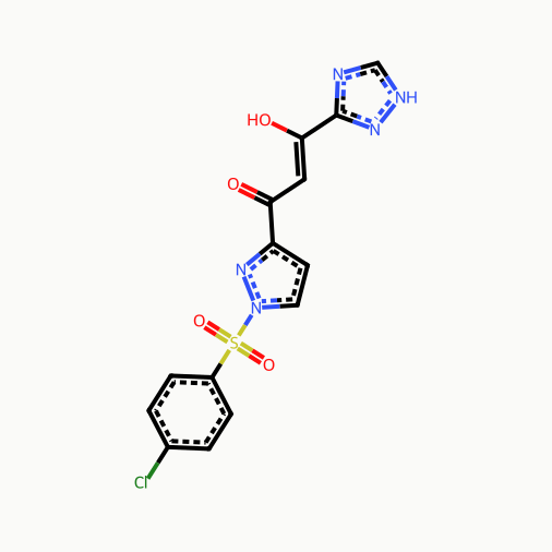 O=C(C=C(O)c1nc[nH]n1)c1ccn(S(=O)(=O)c2ccc(Cl)cc2)n1